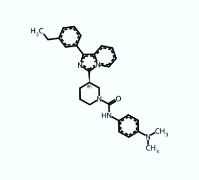 CCc1cccc(-c2nc([C@@H]3CCCN(C(=O)Nc4ccc(N(C)C)cc4)C3)n3ccccc23)c1